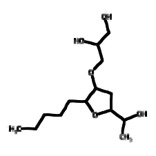 CCCCCC1OC(C(C)O)CC1OCC(O)CO